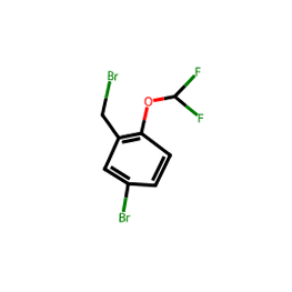 FC(F)Oc1ccc(Br)cc1CBr